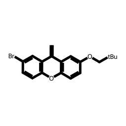 C=C1c2cc(Br)ccc2Oc2ccc(OCC(C)(C)C)cc21